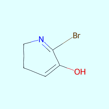 OC1=CCCN=C1Br